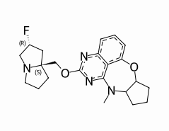 CN1c2nc(OC[C@@]34CCCN3C[C@H](F)C4)nc3cccc(c23)OC2CCCC21